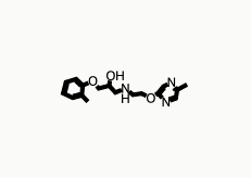 Cc1cnc(OCCNCC(O)COc2ccccc2C)cn1